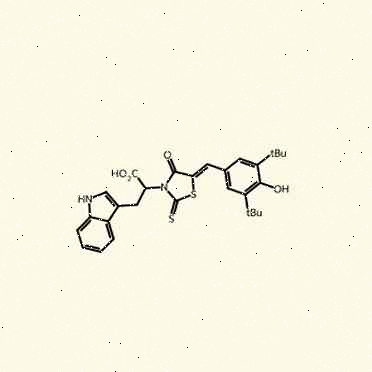 CC(C)(C)c1cc(C=C2SC(=S)N(C(Cc3c[nH]c4ccccc34)C(=O)O)C2=O)cc(C(C)(C)C)c1O